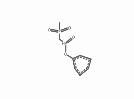 CS(=O)(=O)C[PH](=O)Oc1ccccc1